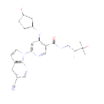 CC(C)(O)C(F)CNC(=O)c1cnc(-n2ccc3cc(C#N)cnc32)cc1NC1CCC(O)C1